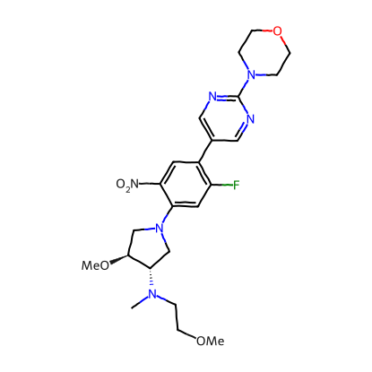 COCCN(C)[C@H]1CN(c2cc(F)c(-c3cnc(N4CCOCC4)nc3)cc2[N+](=O)[O-])C[C@@H]1OC